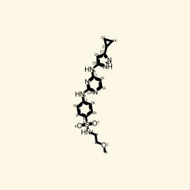 COCCNS(=O)(=O)c1ccc(Nc2nccc(Nc3cc(C4CC4)n[nH]3)n2)cc1